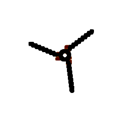 CCCCCCCCCCCCCCCCSC1CCCC(SCCCCCCCCCCCCCCCC)CCCC(SCCCCCCCCCCCCCCCC)CCC1